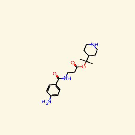 CC(C)(OC(=O)CCNC(=O)c1ccc(N)cc1)C1CCNCC1